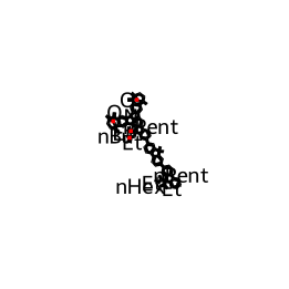 CCCCCCC(CC)C1(C(CC)CCCCC)c2ccccc2-c2ccc(-c3ccc4c(c3)C(C)(C)c3cc(-c5ccc6c(c5)C(CC(CC)CCCC)(C(CC)CCCCC)c5c-6cc6c7cc8c(cc7n7c9cc%10c(cc9c5c67)C5(C)CCC(C)(CC5)C%10=O)C(=O)C5(C)CCC8(C)CC5)ccc3-4)cc21